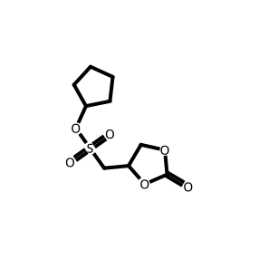 O=C1OCC(CS(=O)(=O)OC2CCCC2)O1